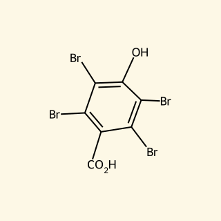 O=C(O)c1c(Br)c(Br)c(O)c(Br)c1Br